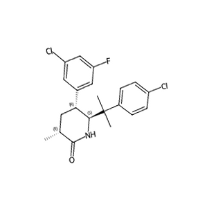 C[C@@H]1C[C@H](c2cc(F)cc(Cl)c2)[C@@H](C(C)(C)c2ccc(Cl)cc2)NC1=O